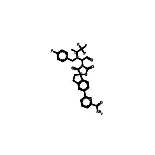 C[C@H](N(Cc1ccc(F)cc1)C(C=O)N1C(=O)O[C@@]2(CCc3cc(-c4cccc(C(N)=O)n4)ccc32)C1=O)C(F)(F)F